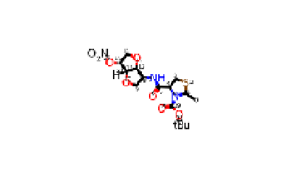 CC1SCC(C(=O)N[C@H]2CO[C@H]3C2OC[C@@H]3O[N+](=O)[O-])N1C(=O)OC(C)(C)C